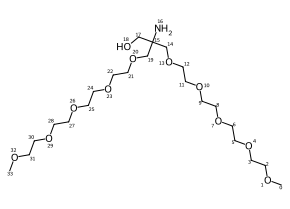 COCCOCCOCCOCCOCC(N)(CO)COCCOCCOCCOCCOC